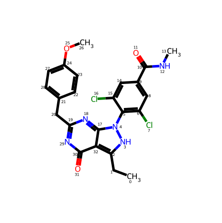 CCc1[nH]n(-c2c(Cl)cc(C(=O)NC)cc2Cl)c2nc(Cc3ccc(OC)cc3)nc(=O)c1-2